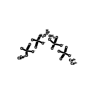 O.O.O.O=S(=O)([O-])[O-].O=S(=O)([O-])[O-].O=S(=O)([O-])[O-].O=S(=O)([O-])[O-].[Ca+2].[Ca+2].[Ca+2].[Ca+2]